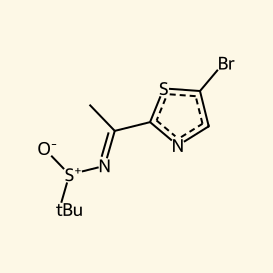 CC(=N[S+]([O-])C(C)(C)C)c1ncc(Br)s1